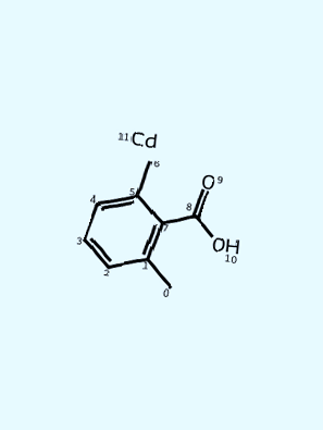 Cc1cccc(C)c1C(=O)O.[Cd]